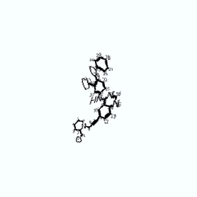 O=CC1CCCCN1CC#Cc1ccc2ncnc(Nc3ccc(Oc4ccccc4)c(Cl)c3)c2c1